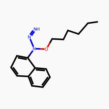 CCCCCCON(N=N)c1cccc2ccccc12